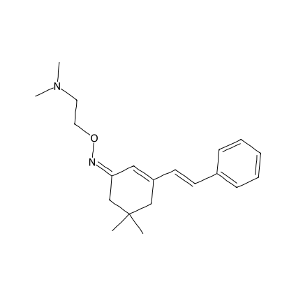 CN(C)CCON=C1C=C(C=Cc2ccccc2)CC(C)(C)C1